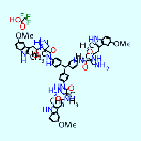 COc1ccc2[nH]c(C)c(CC(=O)N[C@](C)(CN)C(=O)Nc3ccc(C(c4ccc(NC(=O)[C@@](C)(CN)NC(=O)Cc5c(C)[nH]c6ccc(OC)cc56)cc4)c4ccc(NC(=O)[C@@](C)(CN)NC(=O)Cc5c(C)[nH]c6ccc(OC)cc56)cc4)cc3)c2c1.O=C(O)C(F)(F)F